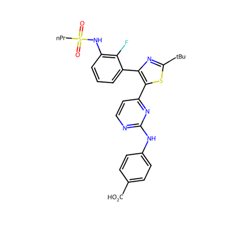 CCCS(=O)(=O)Nc1cccc(-c2nc(C(C)(C)C)sc2-c2ccnc(Nc3ccc(C(=O)O)cc3)n2)c1F